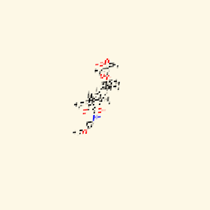 COc1ccc(NC[C@@H](O)C23CC[C@]4(C)[C@H](CC[C@@H]5[C@@]6(C)CC[C@H](OC(=O)CC(C)(C)C(=O)O)C(C)(C)[C@@H]6CC[C@]54C)C2=C(C(C)C)C(=O)C3)cc1